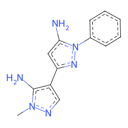 Cn1ncc(-c2cc(N)n(-c3ccccc3)n2)c1N